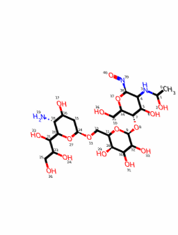 CC(O)NC1C(O)[C@H](O[C@@H]2OC(CO[C@@H]3CC(O)[C@@H](N)C(C(O)C(O)CO)O3)[C@H](O)C(O)C2O)C(CO)O[C@H]1N=O